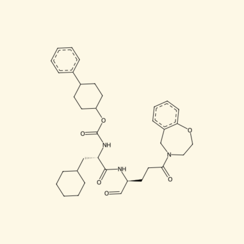 O=C[C@H](CCC(=O)N1CCOc2ccccc2C1)NC(=O)[C@H](CC1CCCCC1)NC(=O)OC1CCC(c2ccccc2)CC1